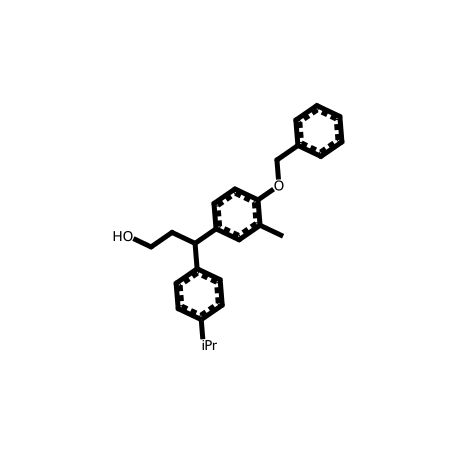 Cc1cc(C(CCO)c2ccc(C(C)C)cc2)ccc1OCc1ccccc1